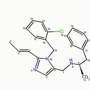 CC=Cc1ncc(CN[C@@H](Cc2ccccc2)C(=O)O)n1Cc1ccccc1Cl